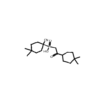 CC1(C)CCC(C(=O)CP(=O)(O)C2(C#N)CCC(C)(C)CC2)CC1